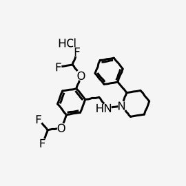 Cl.FC(F)Oc1ccc(OC(F)F)c(CNN2CCCCC2c2ccccc2)c1